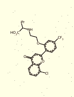 CC(C)C(NCCOc1cc(C(F)(F)F)ccc1-c1cc(=O)c2cccc(Cl)c2o1)C(=O)O